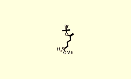 C=C(CCC[SiH2]OC)OC(C)(C)Br